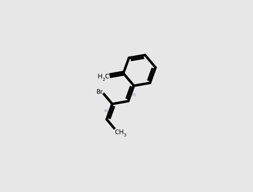 C=c1cccc/c1=C/C(Br)=C\C